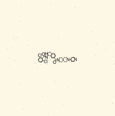 O=C(NC1CCc2ccc(C(=O)N3CCC4(CC3)CCN(c3ccncc3)CC4)cc21)c1c(Cl)cccc1Cl